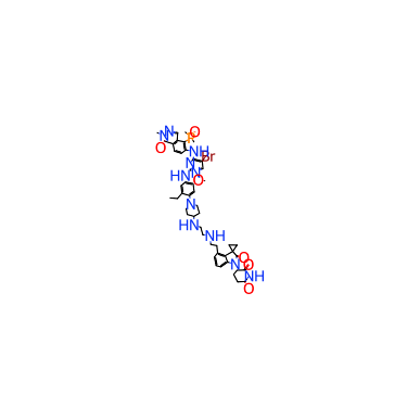 CCc1cc(Nc2ncc(Br)c(Nc3ccc4c(=O)n(C)ncc4c3P(C)(C)=O)n2)c(OC)cc1N1CCC(NCCNCCc2cccc3c2C2(CC2)C(=O)N3C2CCC(=O)NC2=O)CC1